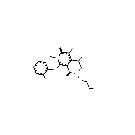 Cc1c2c(c(Nc3ccccc3F)n(C)c1=O)C(=O)N(OCCO)CC2Br